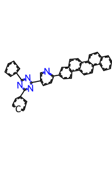 c1ccc(-c2nc(-c3ccccc3)nc(-c3ccc(-c4ccc5c(ccc6c5ccc5c7ccccc7ccc56)c4)nc3)n2)cc1